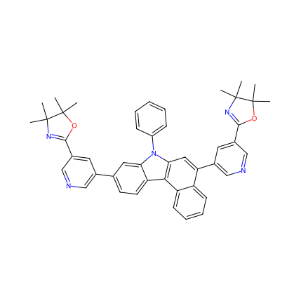 CC1(C)N=C(c2cncc(-c3ccc4c5c6ccccc6c(-c6cncc(C7=NC(C)(C)C(C)(C)O7)c6)cc5n(-c5ccccc5)c4c3)c2)OC1(C)C